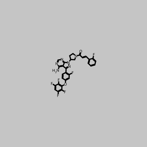 Nc1ncnc2c1c(-c1ccc(Oc3c(F)c(F)cc(F)c3F)cc1F)nn2C1CCN(C(=O)/C=C/c2ccccc2F)C1